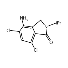 CC(C)N1Cc2c(N)c(Cl)cc(Cl)c2C1=O